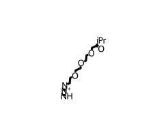 CC(C)C(=O)COCCOCCOCCN=[N+]=N